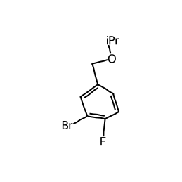 CC(C)OCc1ccc(F)c(Br)c1